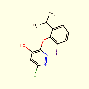 CC(C)c1cccc(I)c1Oc1nnc(Cl)cc1O